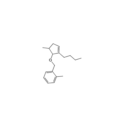 CCCCC1=CCC(C)C1OCc1ccccc1C